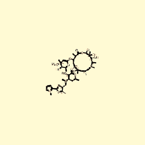 CCC1OC(=O)C(C)C(OC2C[C@@](C)(OC)C(O)C(C)O2)C[C@@H](OC2OC(C)CC(N(C)C[C@@H]3N=C(c4cccn4C)O[C@@H]3C)[C@H]2O)[C@@](C)(O)C[C@@H](C)CN(C)[C@H](C)[C@@H](O)[C@@]1(C)O